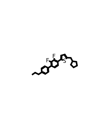 CCCc1ccc(-c2ccc(-c3ccc(CC4CCCC4)s3)c(F)c2F)cc1